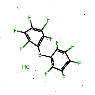 Cl.Fc1c(F)c(F)c([B]c2c(F)c(F)c(F)c(F)c2F)c(F)c1F